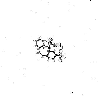 CS(=O)(=O)c1ccc2c(c1)N(C(N)=O)c1ccccc1CC2